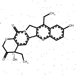 CCc1c2c(nc3ccc(O)cc13)-c1cc3c(c(=O)n1C2)OCC(=O)[C@]3(O)CC